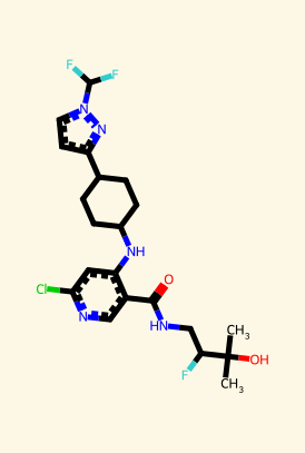 CC(C)(O)C(F)CNC(=O)c1cnc(Cl)cc1NC1CCC(c2ccn(C(F)F)n2)CC1